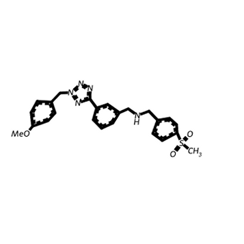 COc1ccc(Cn2nnc(-c3cccc(CNCc4ccc(S(C)(=O)=O)cc4)c3)n2)cc1